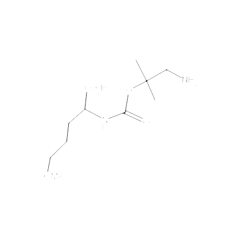 COCCCC(NC(=O)OC(C)(C)CN)C(=O)O